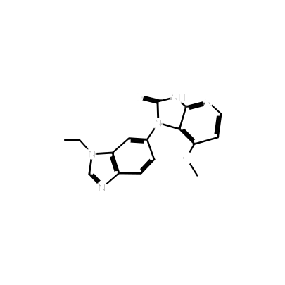 CCn1cnc2ccc(-n3c(=O)[nH]c4nccc(OC)c43)cc21